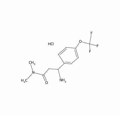 CN(C)C(=O)CC(N)c1ccc(OC(F)(F)F)cc1.Cl